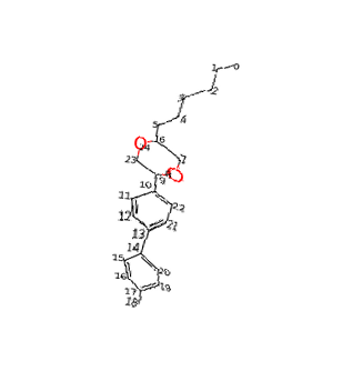 CCCCCCC1COC(c2ccc(-c3ccc(C)cc3)cc2)CO1